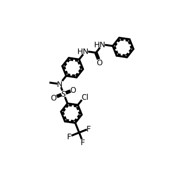 CN(c1ccc(NC(=O)Nc2ccccc2)cc1)S(=O)(=O)c1ccc(C(F)(F)F)cc1Cl